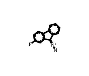 [N-]=[N+]=C1c2ccccc2-c2ccc(F)cc21